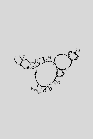 CC(C)CO[C@]1(CN2CCN3CCCC[C@@H]3C2)/C=C/C[C@H](C)[C@@H](C)S(=O)(=O)NC(=O)c2ccc3c(c2)N(CCCCc2cc(Cl)ccc2CO3)C[C@@H]2CC[C@H]21